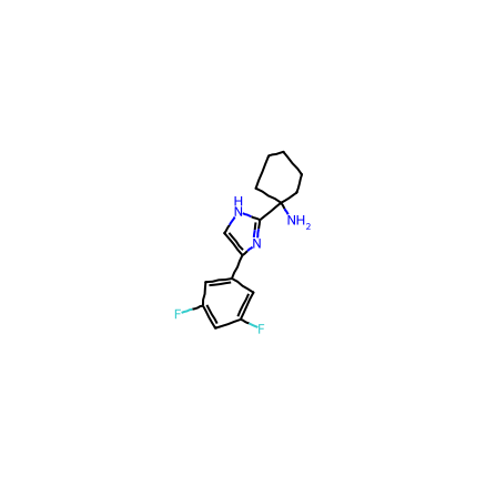 NC1(c2nc(-c3cc(F)cc(F)c3)c[nH]2)CCCCC1